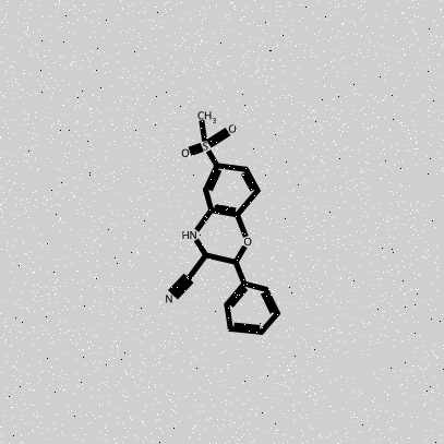 CS(=O)(=O)c1ccc2c(c1)NC(C#N)C(c1ccccc1)O2